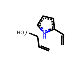 C=CCC(=O)O.C=Cc1ccc[nH]1